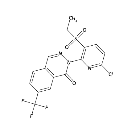 CCS(=O)(=O)c1ccc(Cl)nc1-n1ncc2ccc(C(F)(F)F)cc2c1=O